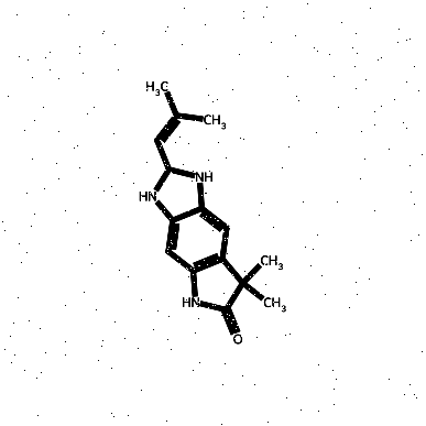 CC(C)=CC1Nc2cc3c(cc2N1)C(C)(C)C(=O)N3